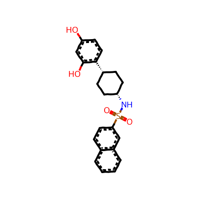 O=S(=O)(N[C@H]1CC[C@@H](c2ccc(O)cc2O)CC1)c1ccc2ccccc2c1